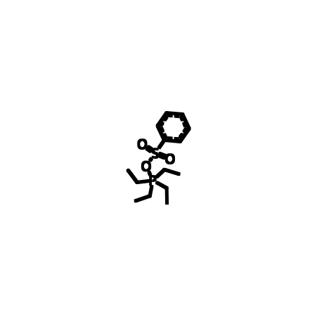 CCP(CC)(CC)(CC)OS(=O)(=O)c1ccccc1